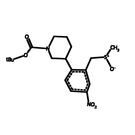 C[S+]([O-])Cc1cc([N+](=O)[O-])ccc1C1CCCN(C(=O)OC(C)(C)C)C1